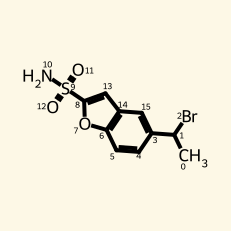 CC(Br)c1ccc2oc(S(N)(=O)=O)cc2c1